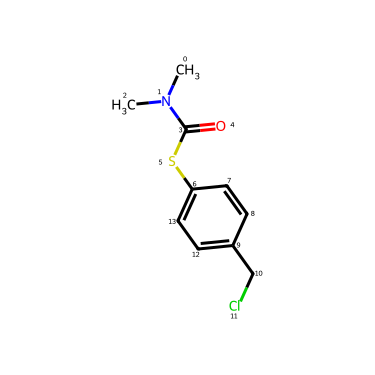 CN(C)C(=O)Sc1ccc(CCl)cc1